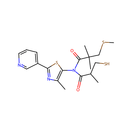 CSCC(C)(C)C(=O)N(C(=O)C(C)CS)c1sc(-c2cccnc2)nc1C